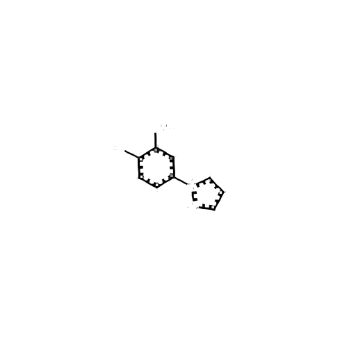 COc1cc(-n2cccn2)ccc1C(C)=O